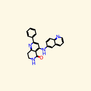 O=C1NCCc2nc(-c3ccccc3)cc(Nc3ccc4ncccc4c3)c21